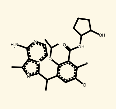 Cc1nc(C(C)c2cc(Cl)c(F)c(C(=O)NC3CCCC3O)c2OC(C)C)n2ccnc(N)c12